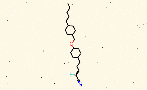 CCCCCC1CCC(COC2CCC(CCC=C(F)C#N)CC2)CC1